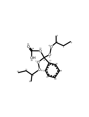 CCC(C)OOC(OOC(C)CC)(OC(=O)O)c1ccccc1